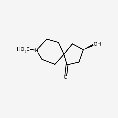 O=C(O)N1CCC2(CC1)C[C@@H](O)CC2=O